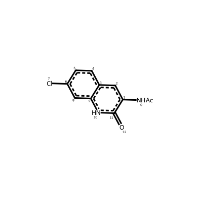 CC(=O)Nc1cc2ccc(Cl)cc2[nH]c1=O